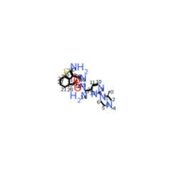 C[C@H]1CN(C)CCN1c1nccc(/C(N)=N/OC(=O)[C@@]2(C)CCCc3sc(N)c(C#N)c32)n1